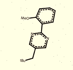 COc1ccccc1-c1ncc(CC(C)(C)C)cn1